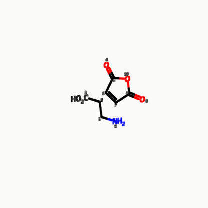 NCCC(=O)O.O=C1C=CC(=O)O1